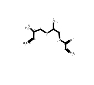 C=CC(=O)OCC(C)OCC(C)C=C